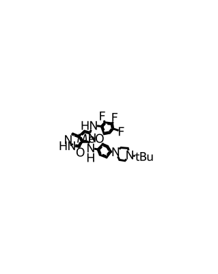 COc1cc(N2CCN(C(C)(C)C)CC2)ccc1Nc1nc(Nc2ccc(F)c(F)c2F)cc2cn[nH]c(=O)c12